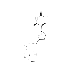 COP(=O)(O)OP(=O)(O)OCC1CC[C@H](c2cn(C)c(=O)[nH]c2=O)O1